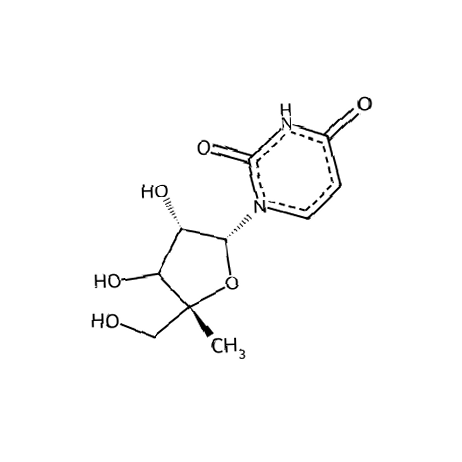 C[C@]1(CO)O[C@@H](n2ccc(=O)[nH]c2=O)[C@@H](O)C1O